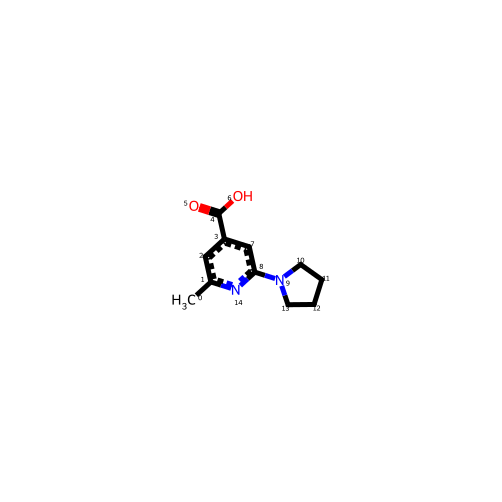 Cc1cc(C(=O)O)cc(N2CCCC2)n1